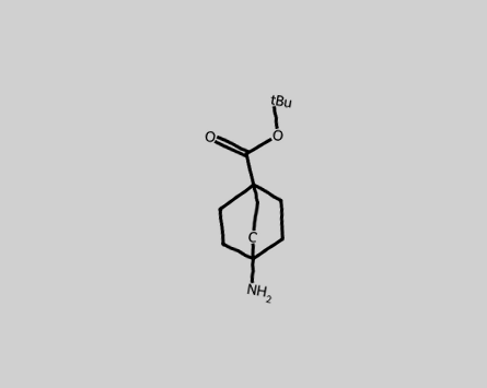 CC(C)(C)OC(=O)C12CCC(N)(CC1)CC2